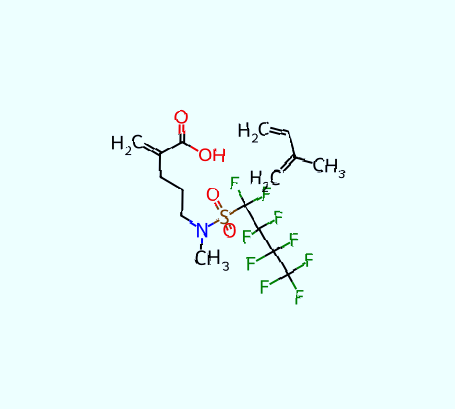 C=C(CCCN(C)S(=O)(=O)C(F)(F)C(F)(F)C(F)(F)C(F)(F)F)C(=O)O.C=CC(=C)C